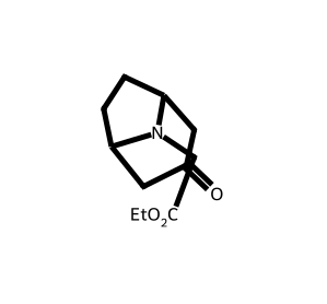 CCOC(=O)CN1C2CCC1CC(=O)C2